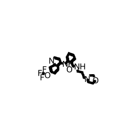 O=C(NCCCN1CCOCC1)c1ccccc1Nc1ccnc2cc(OC(F)(F)F)ccc12